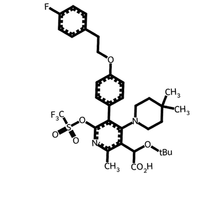 Cc1nc(OS(=O)(=O)C(F)(F)F)c(-c2ccc(OCCc3ccc(F)cc3)cc2)c(N2CCC(C)(C)CC2)c1C(OC(C)(C)C)C(=O)O